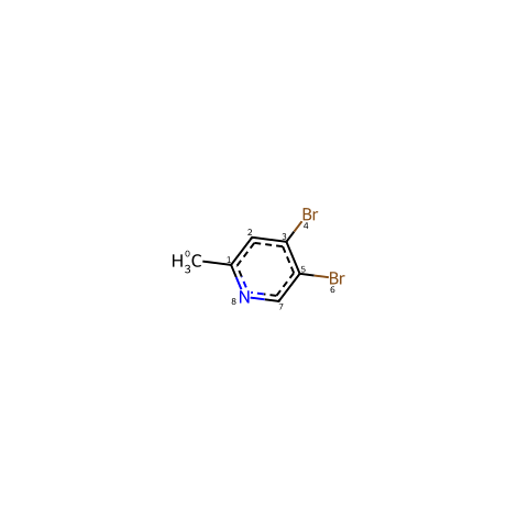 Cc1cc(Br)c(Br)cn1